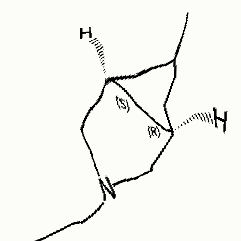 CCN1C[C@@H]2C(C)[C@@H]2C1